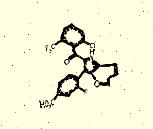 O=C(O)c1ccc(-c2c(C(=O)c3c(Cl)cccc3C(F)(F)F)[nH]c3c2OCCC3)c(F)c1